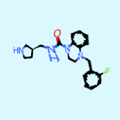 O=C(NC[C@H]1CCNC1)N1CCN(Cc2ccccc2F)c2ccccc21